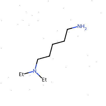 CCN(CC)CCCCCN